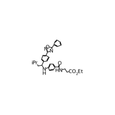 CCOC(=O)CCNC(=O)c1ccc(NC(CC(C)C)c2ccc(-c3noc(-c4ccccc4)n3)cc2)cc1